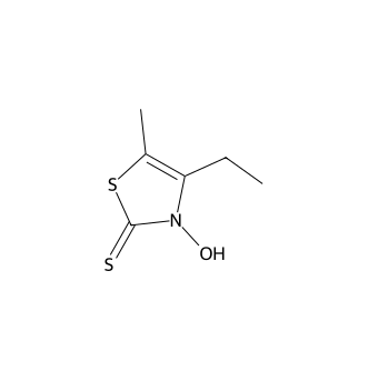 CCc1c(C)sc(=S)n1O